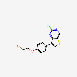 Clc1ncc2scc(-c3ccc(OCCBr)cc3)c2n1